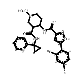 O=C(NC1CCN(C(=O)O)CC1C(=O)NC1(c2ccccn2)CC1)c1cc(-c2ccc(F)cc2F)on1